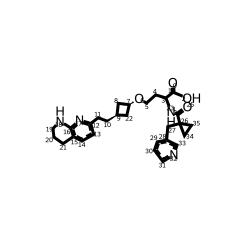 O=C(O)C(CCO[C@H]1C[C@H](CCc2ccc3c(n2)NCCC3)C1)NC(=O)C1(Cc2cccnc2)CC1